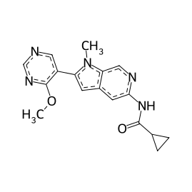 COc1ncncc1-c1cc2cc(NC(=O)C3CC3)ncc2n1C